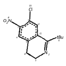 CC(C)(C)C1=NCCc2cc([N+](=O)[O-])c(Cl)cc21